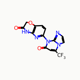 O=C1COc2ccc(-n3c(=O)cc(C(F)(F)F)n4ccnc34)nc2N1